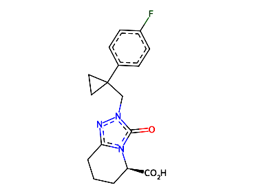 O=C(O)[C@H]1CCCc2nn(CC3(c4ccc(F)cc4)CC3)c(=O)n21